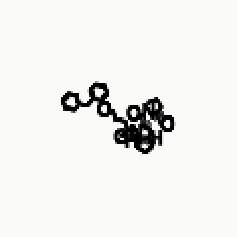 O=C[C@@H]1CCCN1C(=O)[C@@H]1C[C@@H]2CCC[C@@H]2N1C(=O)CCCOc1ccccc1Cc1ccccc1